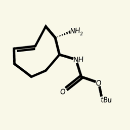 CC(C)(C)OC(=O)NC1CCC/C=C/C[C@@H]1N